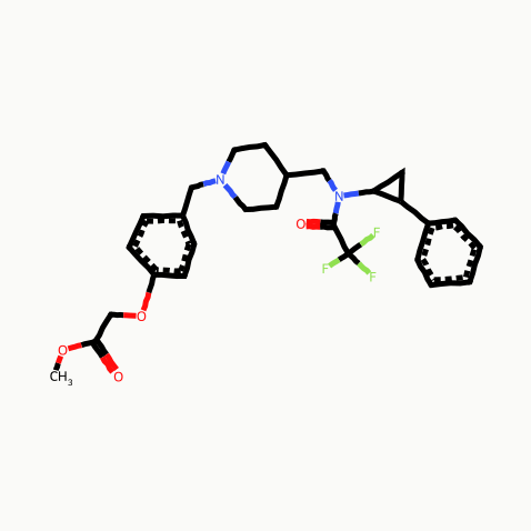 COC(=O)COc1ccc(CN2CCC(CN(C(=O)C(F)(F)F)C3CC3c3ccccc3)CC2)cc1